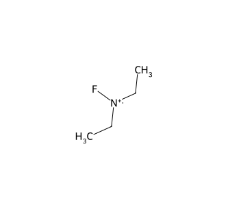 CC[N+](F)CC